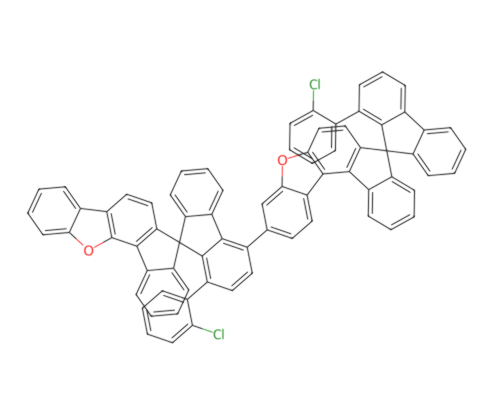 Clc1ccccc1-c1cccc2c1C1(c3ccccc3-2)c2ccccc2-c2c1ccc1oc3cc(-c4ccc(-c5ccccc5Cl)c5c4-c4ccccc4C54c5ccccc5-c5c4ccc4c5oc5ccccc54)ccc3c21